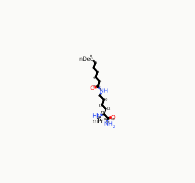 CCCCCCCCCCCCCCCC(=O)NCCCC[C@H](NC(C)C)C(N)=O